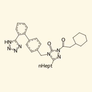 CCCCCCCc1nn(C(=O)CC2CCCCC2)c(=O)n1Cc1ccc(-c2ccccc2-c2nnn[nH]2)cc1